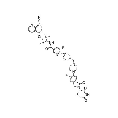 CC1(C)C(NC(=O)c2cnc(N3CCC(CN4CCN(c5cc6c(cc5F)CN(C5CCC(=O)NC5=O)C6=O)CC4)CC3)c(F)c2)C(C)(C)C1Oc1ccc(C#N)c2ncccc12